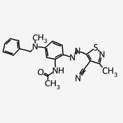 CC(=O)Nc1cc(N(C)Cc2ccccc2)ccc1N=Nc1snc(C)c1C#N